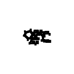 CCCCC1(C(=O)O)CCCCC1(CCC(C)CC(C)(C)C)C(=O)O